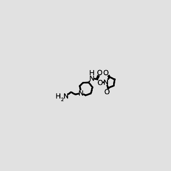 NCCN1CCC[C@H](NC(=O)ON2C(=O)CCC2=O)CC1